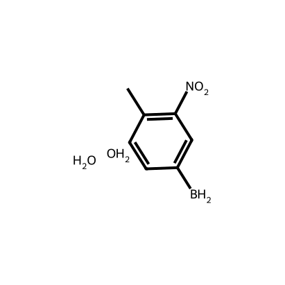 Bc1ccc(C)c([N+](=O)[O-])c1.O.O